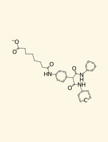 COC(=O)CCCCCCC(=O)Nc1ccc(C(C(=O)Nc2ccccc2)C(=O)Nc2ccccc2)cc1